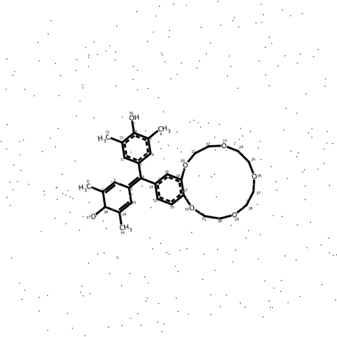 CC1=CC(=C(c2cc(C)c(O)c(C)c2)c2ccc3c(c2)OCCOCCOCCOCCO3)C=C(C)C1[O]